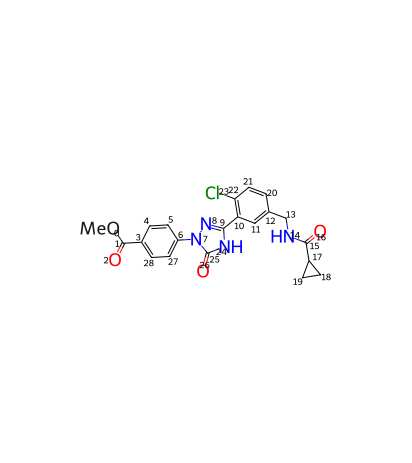 COC(=O)c1ccc(-n2nc(-c3cc(CNC(=O)C4CC4)ccc3Cl)[nH]c2=O)cc1